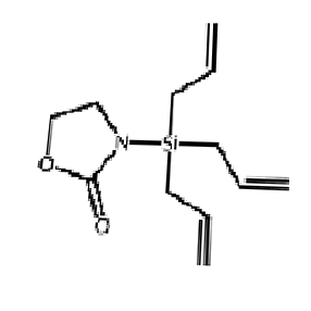 C=CC[Si](CC=C)(CC=C)N1CCOC1=O